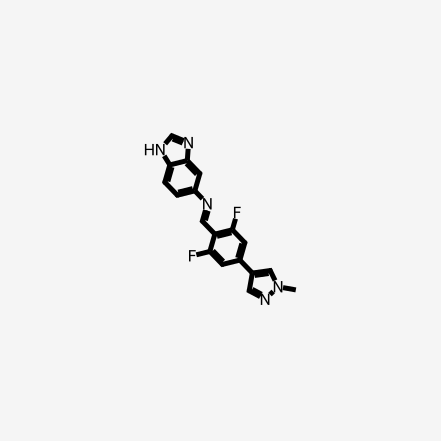 Cn1cc(-c2cc(F)c(C=Nc3ccc4[nH]cnc4c3)c(F)c2)cn1